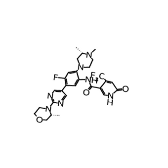 C[C@@H]1COCCN1c1ncc(-c2cc(NC(=O)c3c[nH]c(=O)cc3C(F)(F)F)c(N3CCN(C)[C@@H](C)C3)cc2F)cn1